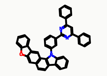 c1ccc(-c2cc(-c3ccccc3)nc(-c3cccc(-n4c5ccccc5c5ccc6cc7oc8ccccc8c7cc6c54)c3)n2)cc1